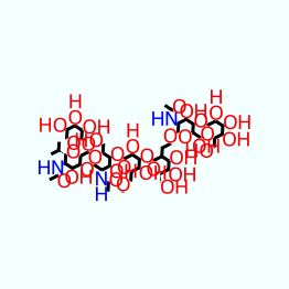 COCC1O[C@@H](O[C@@H]2C(CO)O[C@@H](O[C@@H]3C(CO[C@@H]4OC[C@@H](O)C(O)C4O)O[C@@H](C(C)C)C(NC(C)=O)[C@H]3O)C(NC(C)=O)[C@H]2O)C(O)[C@@H](O[C@H]2O[C@@H](CO)[C@@H](O)C(O)C2CCO[C@@H]2OC(CO)[C@@H](O[C@@H]3OC(CO)[C@H](O)[C@H](O)C3O)[C@H](O)C2NC(C)=O)[C@@H]1O